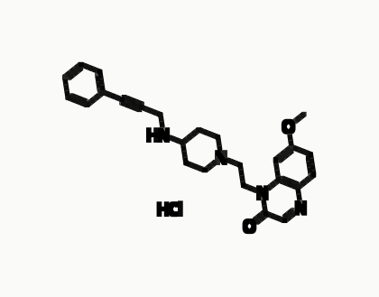 COc1ccc2ncc(=O)n(CCN3CCC(NCC#Cc4ccccc4)CC3)c2c1.Cl